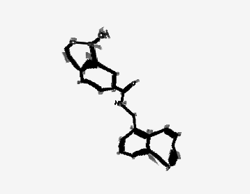 O=C(NCc1cccc2ncccc12)c1ccc2c(c1)B(O)OC2